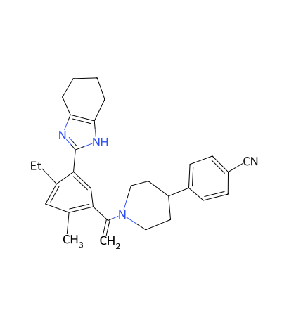 C=C(c1cc(-c2nc3c([nH]2)CCCC3)c(CC)cc1C)N1CCC(c2ccc(C#N)cc2)CC1